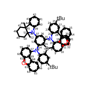 CC(C)(C)c1ccc2c(c1)B1c3ccc4oc5ccccc5c4c3N(c3ccc(C(C)(C)C)cc3-c3ccccc3)c3cc(N4c5ccccc5C5(C)CCCCC45C)cc(c31)N2c1cccc2oc3ccccc3c12